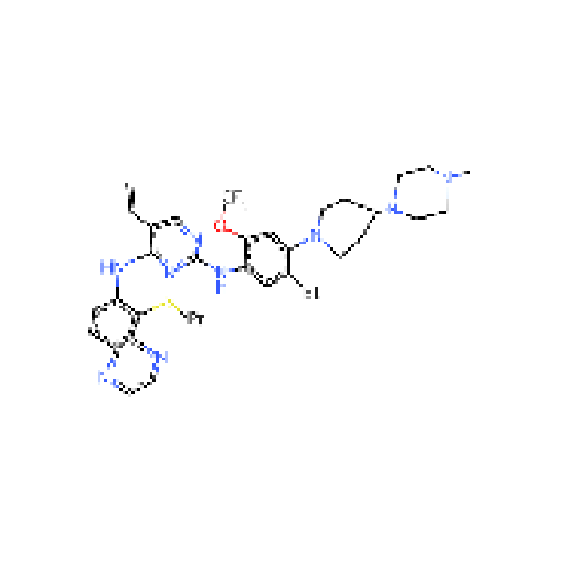 C=Cc1cnc(Nc2cc(CC)c(N3CCC(N4CCN(C)CC4)CC3)cc2OC(F)(F)F)nc1Nc1ccc2nccnc2c1SC(C)C